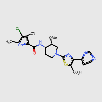 CO[C@H]1CN(c2nc(-c3ccncn3)c(C(=O)O)s2)CC[C@H]1NC(=O)c1[nH]c(C)c(Cl)c1C#N